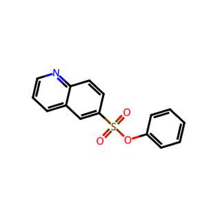 O=S(=O)(Oc1ccccc1)c1ccc2ncccc2c1